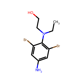 CCN(CCO)c1c(Br)cc(N)cc1Br